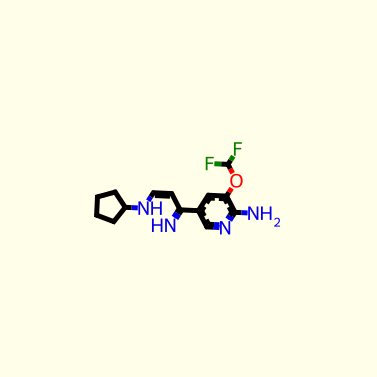 N=C(/C=C\NC1CCCC1)c1cnc(N)c(OC(F)F)c1